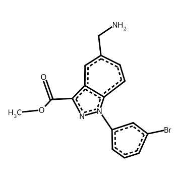 COC(=O)c1nn(-c2cccc(Br)c2)c2ccc(CN)cc12